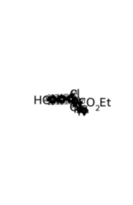 CCOC(=O)C(c1ncn2c1CCC2)N1Cc2c(Cl)cc(-c3ccc(N4CCC(O)CC4)cc3)cc2C1=O